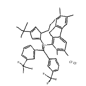 CCCC1C=C(C(C)(C)C)C=[C]1[Zr+2](=[C](c1cccc(C(F)(F)F)c1)c1cccc(C(F)(F)F)c1)[c]1c(C)c(C)cc2c1Cc1cc(C)c(C)cc1-2.[Cl-].[Cl-]